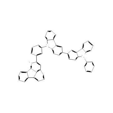 c1ccc(-n2c3ccccc3c3cc(-c4ccc5c(c4)c4ccccc4n5-c4cccc(-c5cc6cccc7c6c(n5)-c5ccccc5-7)c4)ccc32)cc1